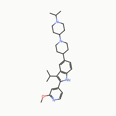 COc1cc(-c2[nH]c3ccc(C4CCN(C5CCN(C(C)C)CC5)CC4)cc3c2C(C)C)ccn1